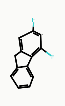 Fc1[c]c(F)c2c(c1)Cc1ccccc1-2